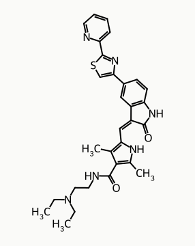 CCN(CC)CCNC(=O)c1c(C)[nH]c(C=C2C(=O)Nc3ccc(-c4csc(-c5ccccn5)n4)cc32)c1C